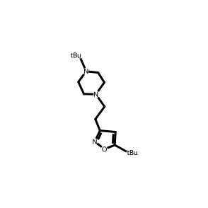 CC(C)(C)c1cc(CCN2CCN(C(C)(C)C)CC2)no1